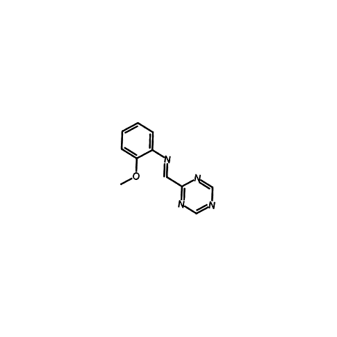 COc1ccccc1N=Cc1ncncn1